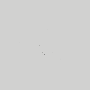 Cc1csc2c1C(=O)N(C)C21CCOCC1